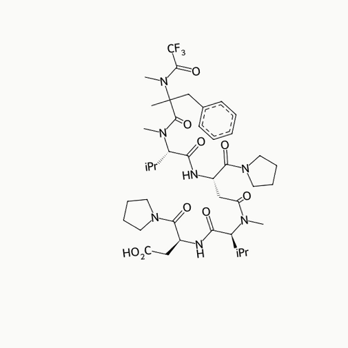 CC(C)[C@@H](C(=O)N[C@@H](CC(=O)O)C(=O)N1CCCC1)N(C)C(=O)C[C@H](NC(=O)[C@H](C(C)C)N(C)C(=O)C(C)(Cc1ccccc1)N(C)C(=O)C(F)(F)F)C(=O)N1CCCC1